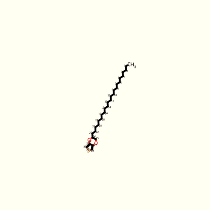 CCCCCCCCCCCCCCCCCCCCCCCCC1COc2cscc2O1